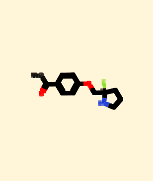 COC(=O)c1ccc(OC[C@@]2(F)CCCN2)cc1